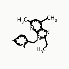 CCc1nc2c(C)cc(C)nc2n1Cc1cc[c]cn1